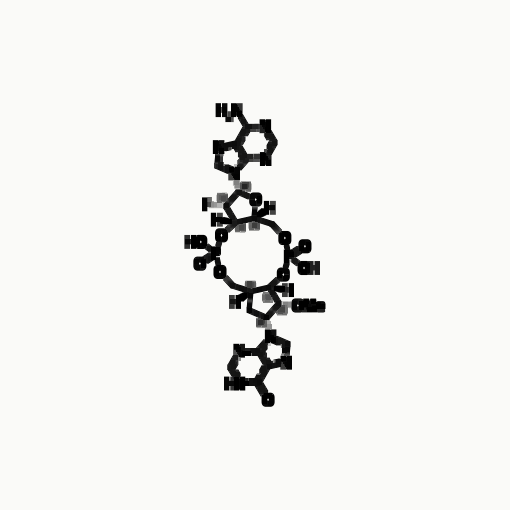 CO[C@H]1[C@H]2OP(=O)(O)OC[C@H]3O[C@@H](n4cnc5c(N)ncnc54)[C@@H](F)[C@H]3OP(=O)(O)OC[C@H]2C[C@H]1n1cnc2c(=O)[nH]cnc21